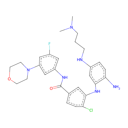 CN(C)CCCNc1ccc(N)c(Nc2cc(C(=O)Nc3cc(F)cc(N4CCOCC4)c3)ccc2Cl)c1